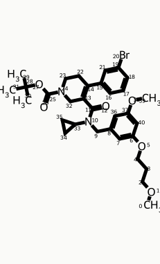 COCCCOc1cc(CN(C(=O)C2=C(c3cccc(Br)c3)CCN(C(=O)OC(C)(C)C)C2)C2CC2)cc(OC)c1